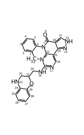 Cc1ccccc1-n1c(=O)c2c[nH]nc2c2cnc(NCC3CNc4ccccc4O3)nc21